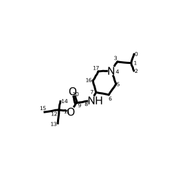 CC(C)CN1CCC(NC(=O)OC(C)(C)C)CC1